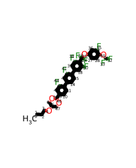 CCCCOC1COC(c2ccc(-c3ccc(-c4cc(F)c(C(F)(F)Oc5ccc(OC(F)F)c(F)c5)c(F)c4)c(F)c3)c(F)c2)OC1